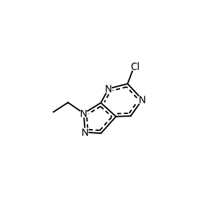 CCn1ncc2cnc(Cl)nc21